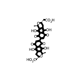 C[C@H]1O[C@H](CC(=O)O)Cc2c(O)c3c(c(O)c21)C(=O)C(C1=CC(=O)c2c(O)c4c(c(O)c2C1=O)[C@@H](C)O[C@H](CC(=O)O)C4)=CC3=O